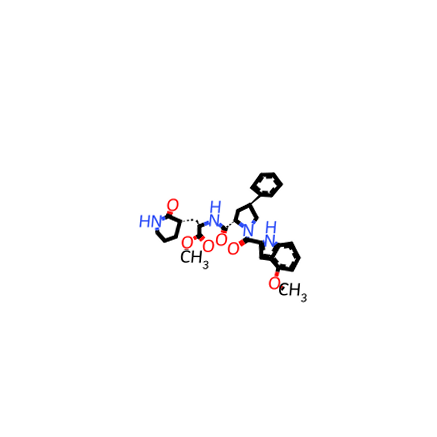 COC(=O)[C@H](C[C@@H]1CCCNC1=O)NC(=O)[C@@H]1C[C@@H](c2ccccc2)CN1C(=O)c1cc2c(OC)cccc2[nH]1